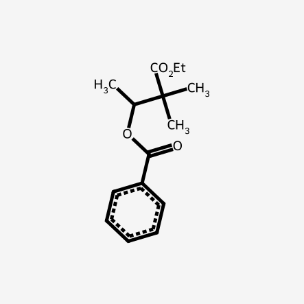 CCOC(=O)C(C)(C)C(C)OC(=O)c1ccccc1